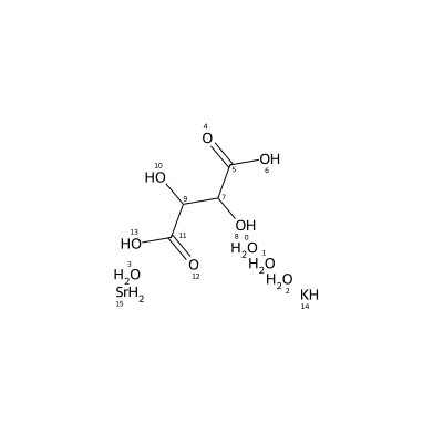 O.O.O.O.O=C(O)C(O)C(O)C(=O)O.[KH].[SrH2]